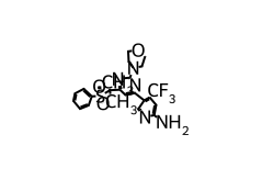 CC(C)(c1cc(-c2cnc(N)cc2C(F)(F)F)nc(N2CCOCC2)n1)S(=O)(=O)c1ccccc1